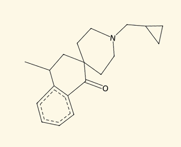 CC1CC2(CCN(CC3CC3)CC2)C(=O)c2ccccc21